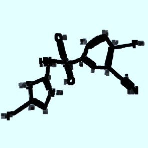 N#Cc1cc(S(=O)(=O)Nc2ncc(F)s2)ccc1F